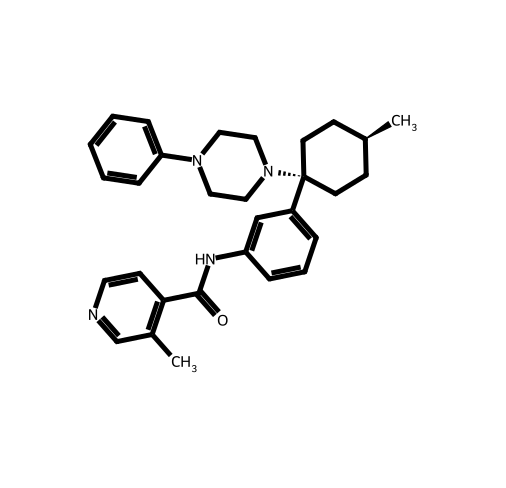 Cc1cnccc1C(=O)Nc1cccc([C@]2(N3CCN(c4ccccc4)CC3)CC[C@H](C)CC2)c1